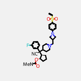 C=CS(=O)(=O)c1ccc(N2CC(CN3CCC([C@@](C#N)(c4cccc(F)c4)[C@H]4CCC[C@@H]4OC(=O)NC)CC3)C2)cc1